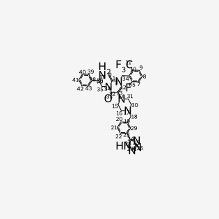 C=C1N(Cc2c(F)cccc2C(F)(F)F)C=C(N2CCN(Cc3cccc(-c4nnn[nH]4)c3)CC2)C(=O)N1C[C@H](N)c1ccccc1